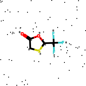 O=C1CSC(C(F)(F)F)O1